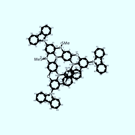 CSN1c2cc3c(cc2B2c4cc5c(cc4N(SC)c4cc(-n6c7ccccc7c7ccccc76)cc1c42)Oc1cc(-n2c4ccccc4c4ccccc42)cc2c1B5c1sc4ccccc4c1O2)B1c2sc4ccccc4c2Oc2cc(-n4c5ccccc5c5ccccc54)cc(c21)O3